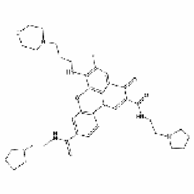 O=C(NCCN1CCCC1)c1ccc2c(c1)Oc1c(NCCCN3CCOCC3)c(F)cc3c(=O)c(C(=O)NCCN4CCCC4)cn-2c13